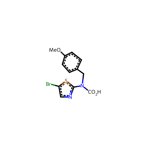 COc1ccc(CN(C(=O)O)c2ncc(Br)s2)cc1